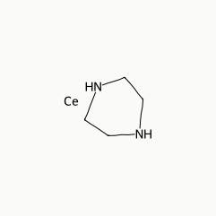 C1CNCCN1.[Ce]